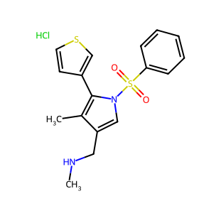 CNCc1cn(S(=O)(=O)c2ccccc2)c(-c2ccsc2)c1C.Cl